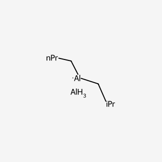 CCC[CH2][Al][CH2]C(C)C.[AlH3]